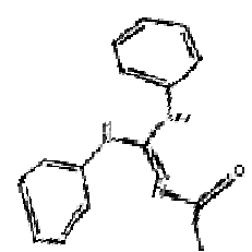 CC(=O)N=C(Nc1ccccc1)Nc1ccccc1